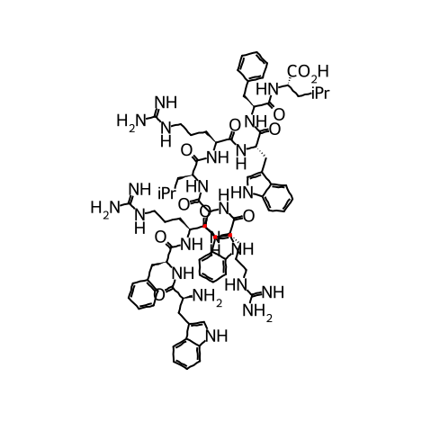 CC(C)C[C@H](NC(=O)[C@H](Cc1ccccc1)NC(=O)[C@H](Cc1c[nH]c2ccccc12)NC(=O)[C@H](CCCNC(=N)N)NC(=O)[C@H](CC(C)C)NC(=O)[C@H](Cc1c[nH]c2ccccc12)NC(=O)[C@H](CCCNC(=N)N)NC(=O)[C@H](CCCNC(=N)N)NC(=O)[C@H](Cc1ccccc1)NC(=O)[C@@H](N)Cc1c[nH]c2ccccc12)C(=O)O